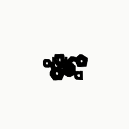 O=C(CC1CCCC1)N1CCN2C(=O)c3ccccc3C12c1ccc(Cl)cc1